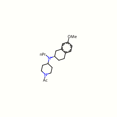 CCCN(C1CCN(C(C)=O)CC1)[C@@H]1CCc2ccc(OC)cc2C1